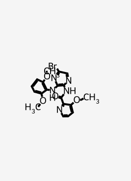 CCOc1cccnc1C(=O)Nc1ncc(Br)nc1Nc1c(OC)cccc1OC